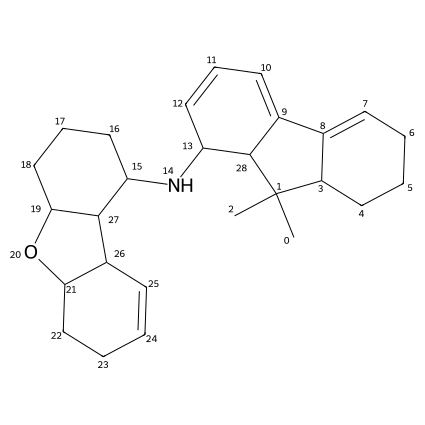 CC1(C)C2CCCC=C2C2=CC=CC(NC3CCCC4OC5CCC=CC5C34)C21